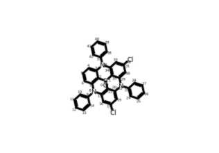 O=P12c3c4cccc3N(c3ccccc3)c3cc(Cl)cc(c31)N(c1ccccc1)c1cc(Cl)cc(c12)N4c1ccccc1